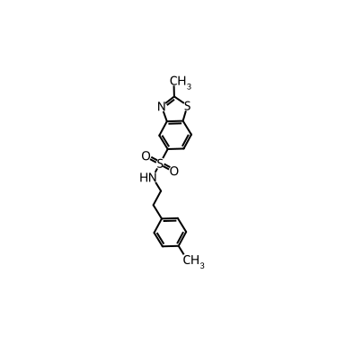 Cc1ccc(CCNS(=O)(=O)c2ccc3sc(C)nc3c2)cc1